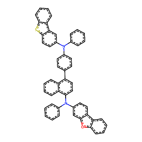 c1ccc(N(c2ccc(-c3ccc(N(c4ccccc4)c4ccc5c(c4)oc4ccccc45)c4ccccc34)cc2)c2ccc3sc4ccccc4c3c2)cc1